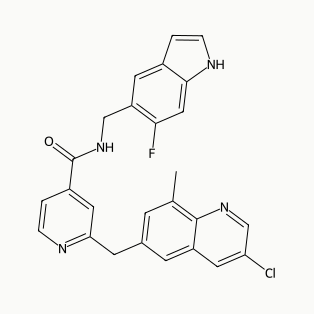 Cc1cc(Cc2cc(C(=O)NCc3cc4cc[nH]c4cc3F)ccn2)cc2cc(Cl)cnc12